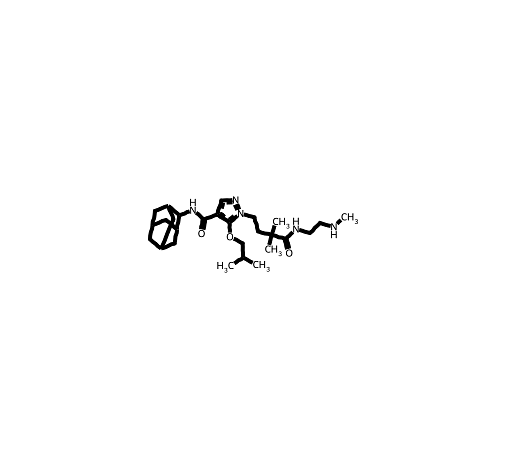 CNCCNC(=O)C(C)(C)CCn1ncc(C(=O)NC2C3CC4CC(C3)CC2C4)c1OCC(C)C